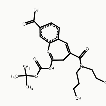 CCCN(CCCO)C(=O)C1=Cc2ccc(C(=O)O)cc2N=C(NC(=O)OC(C)(C)C)C1